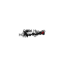 COC(=O)[C@H](C(=O)N1C[C@@H](O)C[C@H]1c1nc(-c2ccc(-c3ccc(NC(=O)c4ccc(N5CCN(C(=O)[C@]6(C)CCCN6C(=O)OC)C[C@H]5C)nc4)cc3)cc2)c[nH]1)C(C)CN